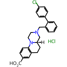 Cl.O=C(O)c1ccc2c(c1)CC[C@H]1CN(Cc3ccccc3-c3ccc(Cl)cc3)CCN21